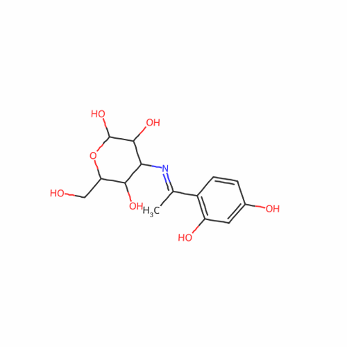 CC(=NC1C(O)C(O)OC(CO)C1O)c1ccc(O)cc1O